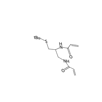 C=CC(=O)NCC(CSC(C)(C)C)NC(=O)C=C